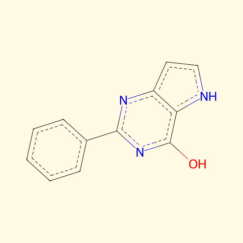 Oc1nc(-c2ccccc2)nc2cc[nH]c12